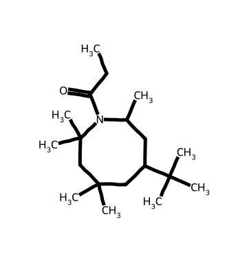 CCC(=O)N1C(C)CC(C(C)(C)C)CC(C)(C)CC1(C)C